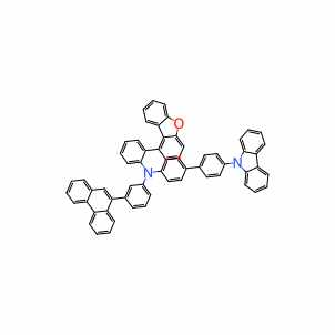 c1cc(-c2cc3ccccc3c3ccccc23)cc(N(c2ccc(-c3ccc(-n4c5ccccc5c5ccccc54)cc3)cc2)c2ccccc2-c2cccc3oc4ccccc4c23)c1